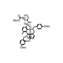 COc1ccc(CN(Cc2ccc(OC)cc2)S(=O)(=O)c2c(S(=O)(=O)NC(CO)CNC(=O)OC(C)(C)C)ccc(I)c2-c2nnnn2Cc2ccc(OC)cc2)cc1